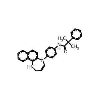 CC(C)(C(=O)Nc1ccc(N2C=CCNc3c2ccc2ccccc32)cc1)c1ccccc1